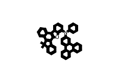 CC1(C)c2ccccc2-c2c1c1ccccc1c1c2oc2c(N(c3ccccc3)c3ccc4c5ccccc5c5ccccc5c4c3)cccc21